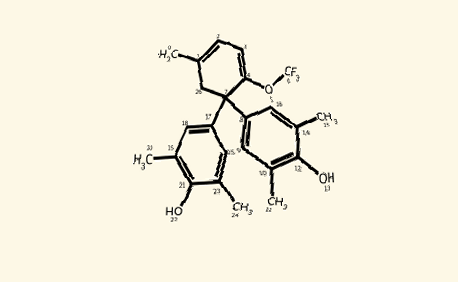 [CH2]C1=CC=C(OC(F)(F)F)C(c2cc(C)c(O)c(C)c2)(c2cc(C)c(O)c(C)c2)C1